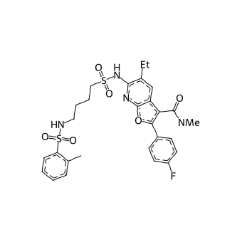 CCc1cc2c(C(=O)NC)c(-c3ccc(F)cc3)oc2nc1NS(=O)(=O)CCCCNS(=O)(=O)c1ccccc1C